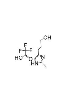 Cc1nc(CCCO)c[nH]1.O=C(O)C(F)(F)F